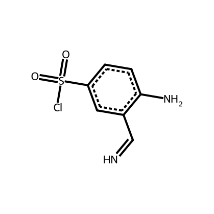 N=Cc1cc(S(=O)(=O)Cl)ccc1N